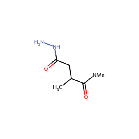 CNC(=O)C(C)CC(=O)NN